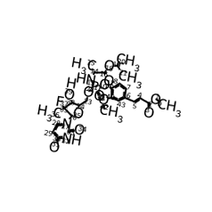 COC(=O)/C=C/c1ccc(OP(=O)(NC(C)C(=O)OC(C)C)OCC2OC(n3ccc(=O)[nH]c3=O)C(C)(F)C2O)c(OC)c1